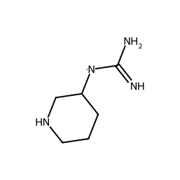 N=C(N)[N]C1CCCNC1